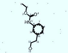 CCOC(=O)Nc1cccc(CC[O])c1